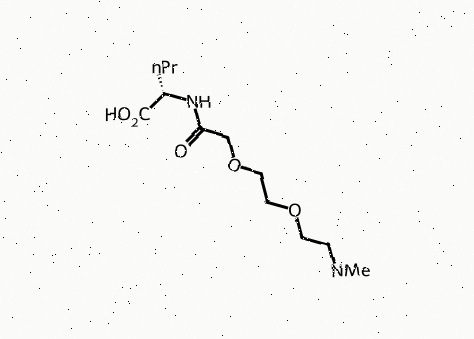 CCC[C@H](NC(=O)COCCOCCNC)C(=O)O